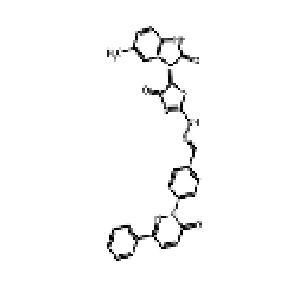 Cc1ccc2c(c1)C(=C1SC(NN=Cc3ccc(-n4nc(-c5ccccc5)ccc4=O)cc3)=NC1=O)C(=O)N2